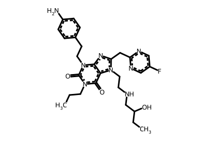 CCCn1c(=O)c2c(nc(Cc3ncc(F)cn3)n2CCNCC(O)CC)n(CCc2ccc(N)cc2)c1=O